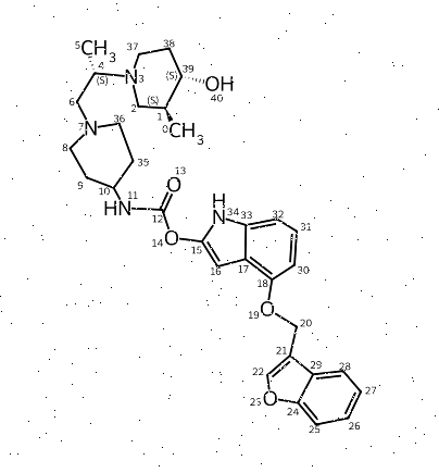 C[C@H]1CN([C@@H](C)CN2CCC(NC(=O)Oc3cc4c(OCc5coc6ccccc56)cccc4[nH]3)CC2)CC[C@@H]1O